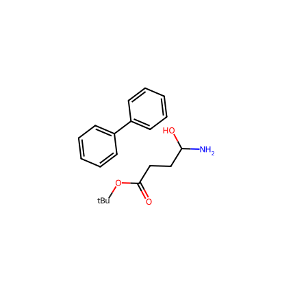 CC(C)(C)OC(=O)CCC(N)O.c1ccc(-c2ccccc2)cc1